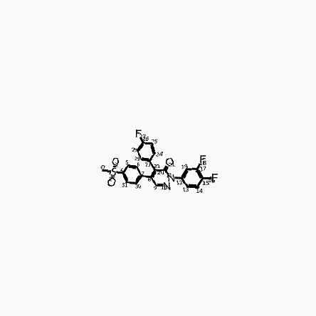 CS(=O)(=O)c1ccc(-c2cnn(-c3ccc(F)c(F)c3)c(=O)c2-c2ccc(F)cc2)cc1